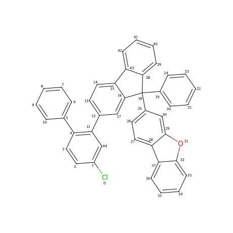 Clc1ccc(-c2ccccc2)c(-c2ccc3c(c2)C(c2ccccc2)(c2ccc4c(c2)oc2ccccc24)c2ccccc2-3)c1